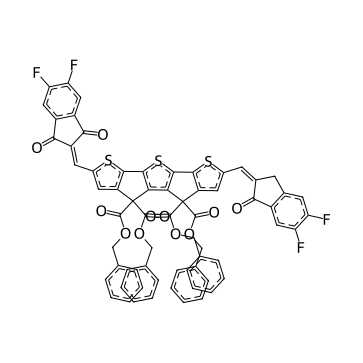 O=C1/C(=C\c2cc3c(s2)-c2sc4c(c2C3(C(=O)OCc2ccccc2)C(=O)OCc2ccccc2)C(C(=O)OCc2ccccc2)(C(=O)OCc2ccccc2)c2cc(C=C3C(=O)c5cc(F)c(F)cc5C3=O)sc2-4)Cc2cc(F)c(F)cc21